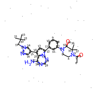 CC(=O)N1CCN(c2cccc(-c3cc(-c4cnn(CC(C)(C)C)c4)c4c(N)ncnn34)c2)C(=O)C1(C)C